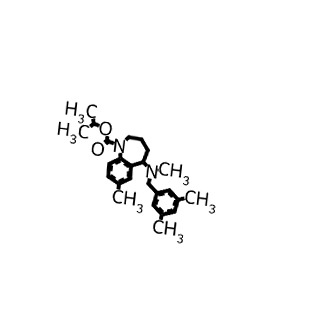 Cc1cc(C)cc(CN(C)C2CCCN(C(=O)OC(C)C)c3ccc(C)cc32)c1